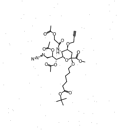 C#CCO[C@H]1C[C@](OCCCCCC(=O)OC(C)(C)C)(C(=O)OC)O[C@@H]([C@H](OC(C)=O)[C@@H](CN=[N+]=[N-])OC(C)=O)[C@@H]1NC(=O)COC(C)=O